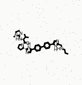 CCCNCc1ncc(-c2ccc(-c3ccc(-c4cnc([C@@H]5CCCN5C(=O)[C@@H](NC5=NCCN5C)C(C)C)[nH]4)cc3)cc2)[nH]1